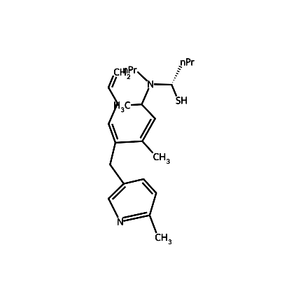 C=CC/C=C(Cc1ccc(C)nc1)\C(C)=C/C(C)N(CCC)[C@@H](S)CCC